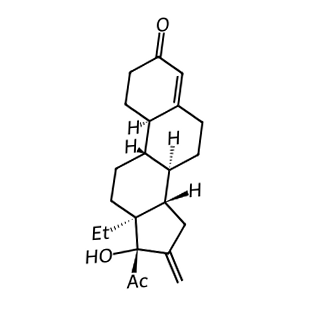 C=C1C[C@H]2[C@@H]3CCC4=CC(=O)CC[C@@H]4[C@H]3CC[C@]2(CC)[C@]1(O)C(C)=O